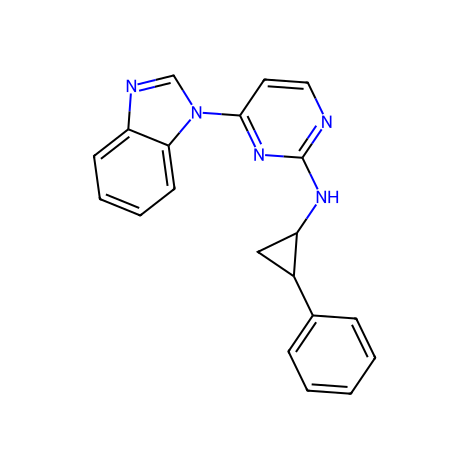 c1ccc(C2CC2Nc2nccc(-n3cnc4ccccc43)n2)cc1